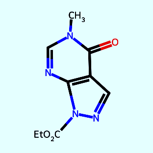 CCOC(=O)n1ncc2c(=O)n(C)cnc21